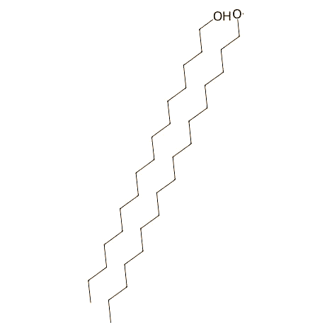 CCCCCCCCCCCCCCCCC[O].CCCCCCCCCCCCCCCCO